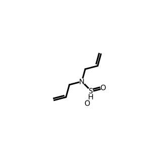 C=CCN(CC=C)[SH](=O)=O